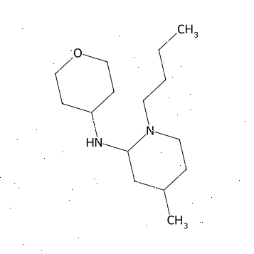 CCCCN1CCC(C)CC1NC1CCOCC1